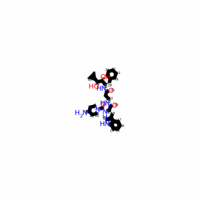 NC1CCN(C(=O)N[C@@H](Cc2c[nH]c3ccccc23)C(=O)NCCC(=O)N[C@@H](CC2CCCCC2)[C@@H](O)[C@@H](O)C2CC2)CC1